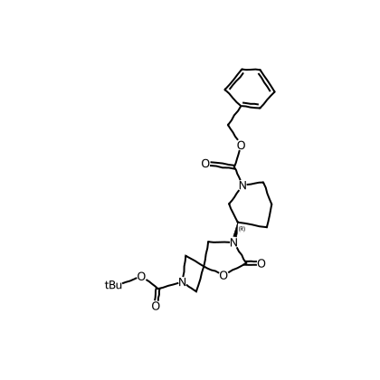 CC(C)(C)OC(=O)N1CC2(C1)CN([C@@H]1CCCN(C(=O)OCc3ccccc3)C1)C(=O)O2